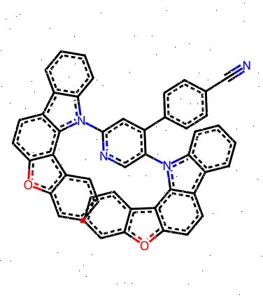 N#Cc1ccc(-c2cc(-n3c4ccccc4c4ccc5oc6ccccc6c5c43)ncc2-n2c3ccccc3c3ccc4oc5ccccc5c4c32)cc1